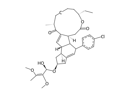 CC[C@H]1CCCC[C@@H](C)C(=O)C2=C[C@@H]3C(C(c4ccc(Cl)cc4)C=C4C[C@@H](O[C@H](O)/C(OC)=C(/C)OC)C[C@H]43)[C@@H]2CC(=O)O1